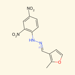 Cc1occc1/C=N/Nc1ccc([N+](=O)[O-])cc1[N+](=O)[O-]